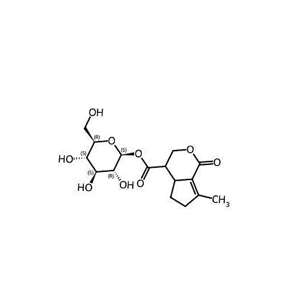 CC1=C2C(=O)OCC(C(=O)O[C@@H]3O[C@H](CO)[C@@H](O)[C@H](O)[C@H]3O)C2CC1